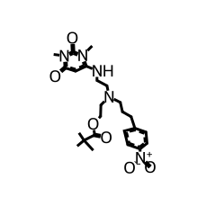 Cn1c(NCCN(CCCc2ccc([N+](=O)[O-])cc2)CCOC(=O)C(C)(C)C)cc(=O)n(C)c1=O